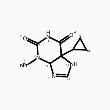 CCCN1C(=O)NC(=O)C2(C3CC3)NC=NC12